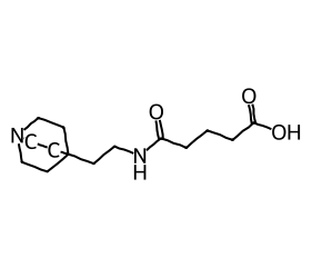 O=C(O)CCCC(=O)NCCC12CCN(CC1)CC2